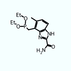 CCOP(Cc1c(C)ccc2[nH]c(C(N)=O)nc12)OCC